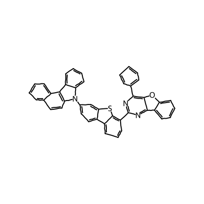 c1ccc(-c2nc(-c3cccc4c3sc3cc(-n5c6ccccc6c6c7ccccc7ccc65)ccc34)nc3c2oc2ccccc23)cc1